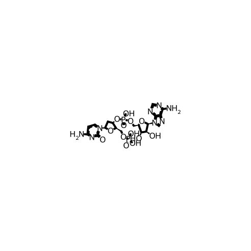 Nc1ccn([C@H]2C[C@@H](OP(=O)(O)OC[C@H]3O[C@@H](n4cnc5c(N)ncnc54)[C@@H](O)[C@H]3O)[C@@H](COP(=O)(O)O)O2)c(=O)n1